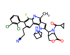 Cc1nc2c(F)c(-c3cccc(Cl)c3Cl)c(CCC#N)cc2c2c1cc(C1C3COC(=O)C(C3)N1C(=O)C1CC1)n2C1C2CNC1C2